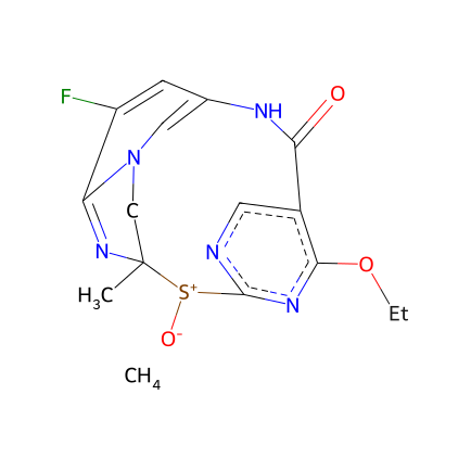 C.CCOc1nc2ncc1C(=O)NC1=CN3CC(C)(N=C3C(F)=C1)[S+]2[O-]